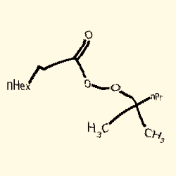 CCCCCCCC(=O)OOC(C)(C)CCC